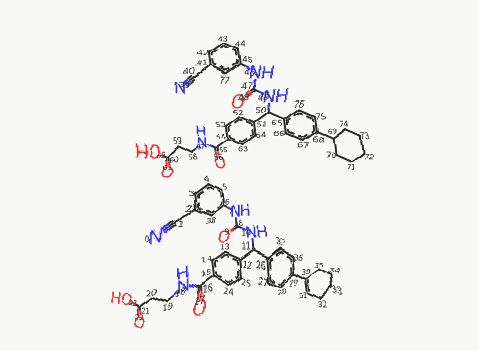 N#Cc1cccc(NC(=O)NC(c2ccc(C(=O)NCCC(=O)O)cc2)c2ccc(C3=CCCCC3)cc2)c1.N#Cc1cccc(NC(=O)NC(c2ccc(C(=O)NCCC(=O)O)cc2)c2ccc(C3CCCCC3)cc2)c1